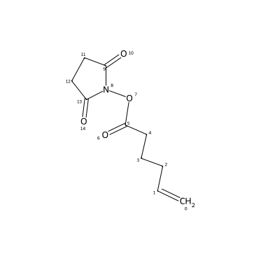 C=CCCCC(=O)ON1C(=O)CCC1=O